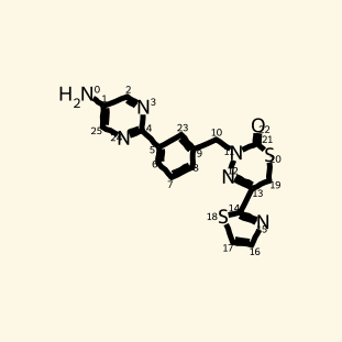 Nc1cnc(-c2cccc(CN3N=C(c4nccs4)CSC3=O)c2)nc1